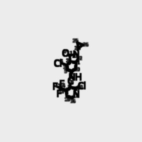 O=C1c2c(Cl)cc(NCc3c(C(F)(F)F)ccnc3Cl)cc2CN1C1CC1